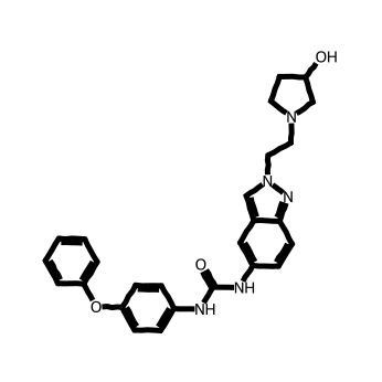 O=C(Nc1ccc(Oc2ccccc2)cc1)Nc1ccc2nn(CCN3CCC(O)C3)cc2c1